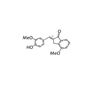 COc1cc(/C=C2\Cc3c(OC)cccc3C2=O)ccc1O